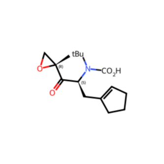 CC(C)(C)N(C(=O)O)[C@@H](CC1=CCCC1)C(=O)[C@@]1(C)CO1